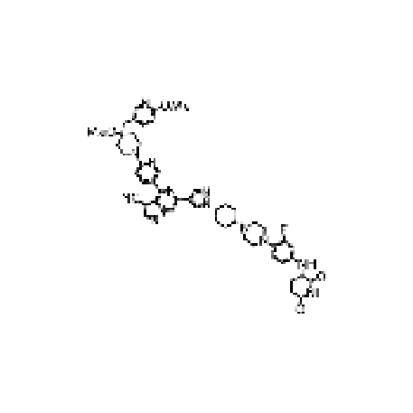 COc1ccc(CC2(OC)CCN(c3ccc(-c4nc(-c5cnn([C@H]6CC[C@@H](N7CCN(c8ccc(NC9CCC(=O)NC9=O)cc8F)CC7)CC6)c5)cn5ncc(C#N)c45)cn3)CC2)cn1